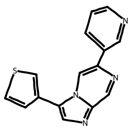 c1cncc(-c2cn3c(-c4ccsc4)cnc3cn2)c1